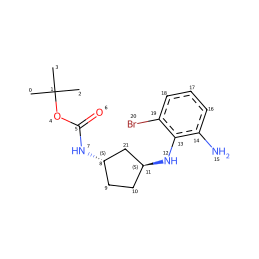 CC(C)(C)OC(=O)N[C@H]1CC[C@H](Nc2c(N)cccc2Br)C1